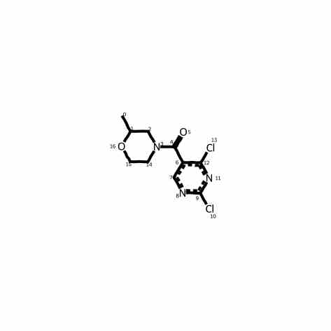 CC1CN(C(=O)c2cnc(Cl)nc2Cl)CCO1